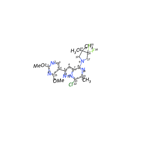 COc1ncc(-c2cc3c(N4CC(C)(C)C(F)(F)C4)nc(C)c(Cl)n3n2)c(OC)n1